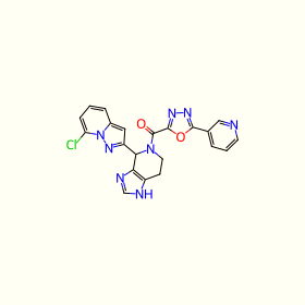 O=C(c1nnc(-c2cccnc2)o1)N1CCc2[nH]cnc2C1c1cc2cccc(Cl)n2n1